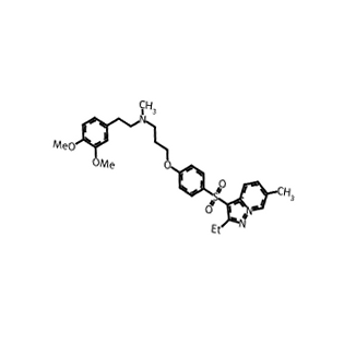 CCc1nn2cc(C)ccc2c1S(=O)(=O)c1ccc(OCCCN(C)CCc2ccc(OC)c(OC)c2)cc1